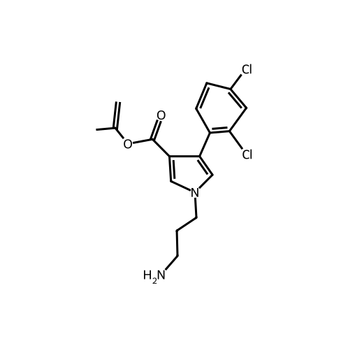 C=C(C)OC(=O)c1cn(CCCN)cc1-c1ccc(Cl)cc1Cl